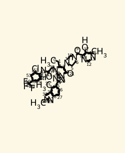 CCc1c(N2CCN(C(=O)c3ncnc(C)c3O)CC2)c(=O)n2nc(-c3ccc4nn(C)cc4c3C)nc2n1CC(=O)Nc1ccc(C(F)(F)F)cc1Cl